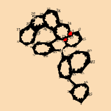 c1ccc(-c2ccc(N(c3ccccc3)c3ccccc3-c3cccc4ccc5sc6ccccc6c5c34)c3ccccc23)cc1